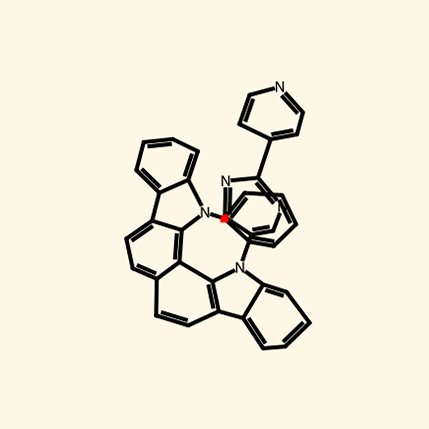 c1ccc(-n2c3ccccc3c3ccc4ccc5c6ccccc6n(-c6cnc(-c7ccncc7)nc6)c5c4c32)cc1